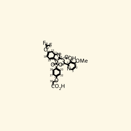 COc1ccnc(C[S+]([O-])C2=NC3CC(OC(F)F)=CC=C3N2S(=O)(=O)c2ccc(OCC(=O)O)cc2)c1O